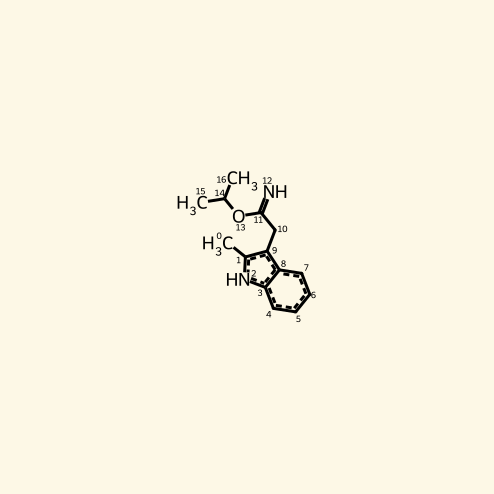 Cc1[nH]c2ccccc2c1CC(=N)OC(C)C